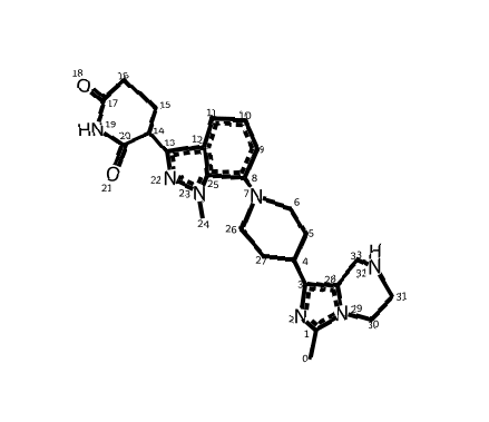 Cc1nc(C2CCN(c3cccc4c(C5CCC(=O)NC5=O)nn(C)c34)CC2)c2n1CCNC2